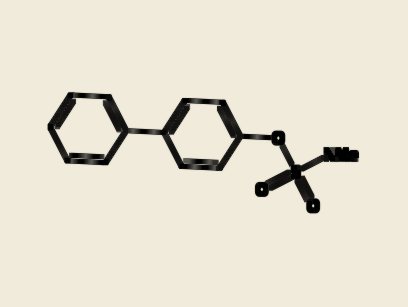 CNS(=O)(=O)Oc1ccc(-c2ccccc2)cc1